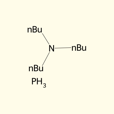 CCCCN(CCCC)CCCC.P